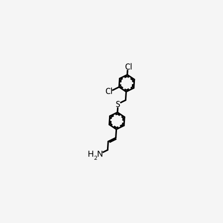 NCC=Cc1ccc(SCc2ccc(Cl)cc2Cl)cc1